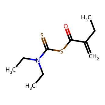 C=C(CC)C(=O)SC(=S)N(CC)CC